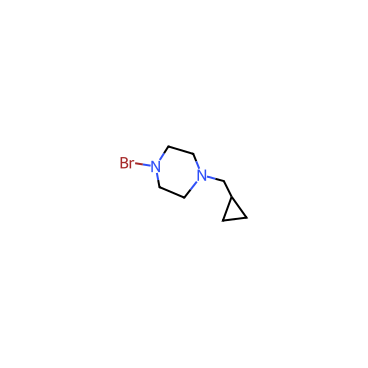 BrN1CCN(CC2CC2)CC1